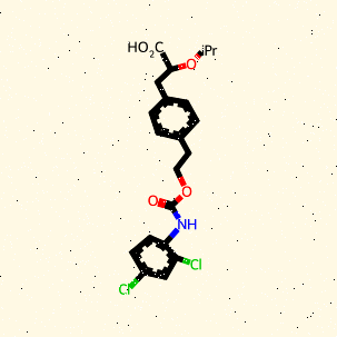 CC(C)OC(Cc1ccc(CCOC(=O)Nc2ccc(Cl)cc2Cl)cc1)C(=O)O